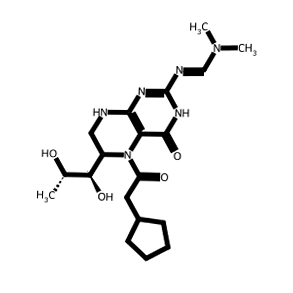 C[C@H](O)[C@H](O)C1CNc2nc(/N=C/N(C)C)[nH]c(=O)c2N1C(=O)CC1CCCC1